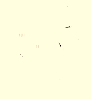 CC(=O)O[C@@H]1[C@H](OC(C)=O)[C@@H](C)O[C@H]1n1c(NC(C)C)nc2cc(F)c(F)cc21